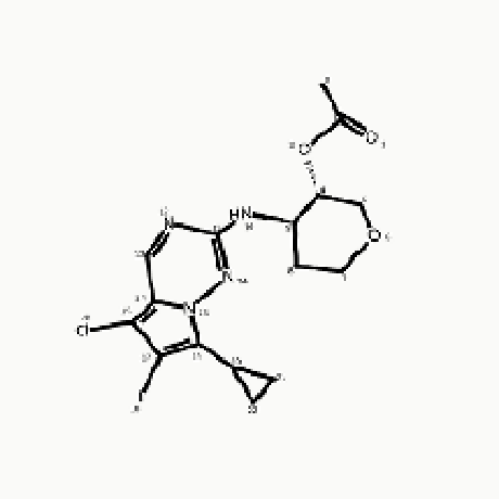 CC(=O)O[C@@H]1COCC[C@H]1Nc1ncc2c(Cl)c(I)c(C3CC3)n2n1